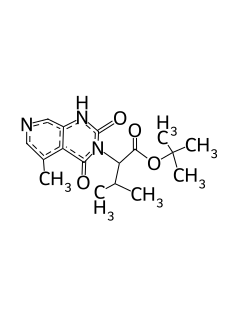 Cc1cncc2[nH]c(=O)n(C(C(=O)OC(C)(C)C)C(C)C)c(=O)c12